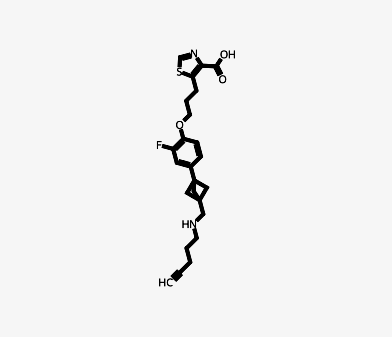 C#CCCCNCC12CC(c3ccc(OCCCc4scnc4C(=O)O)c(F)c3)(C1)C2